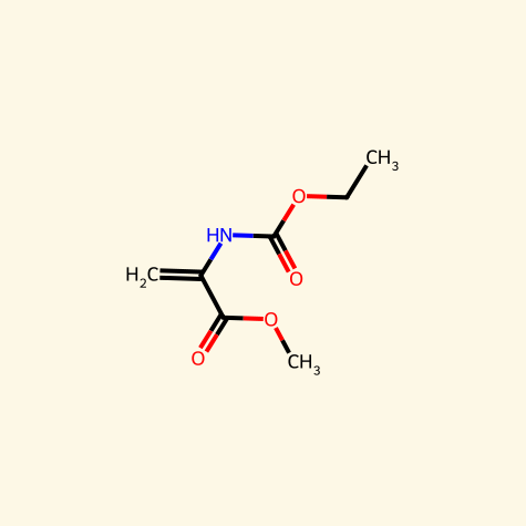 C=C(NC(=O)OCC)C(=O)OC